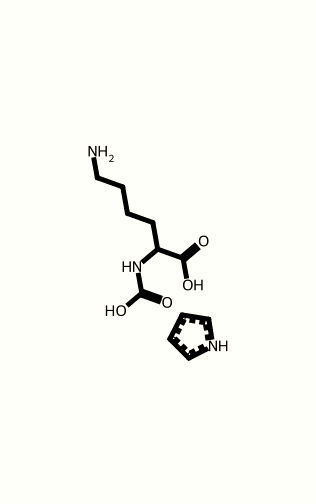 NCCCCC(NC(=O)O)C(=O)O.c1cc[nH]c1